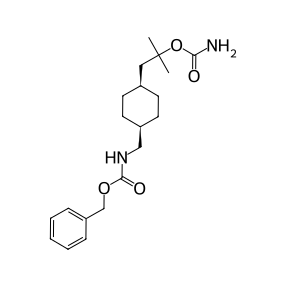 CC(C)(C[C@H]1CC[C@@H](CNC(=O)OCc2ccccc2)CC1)OC(N)=O